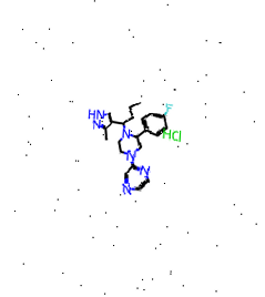 CCCC(c1c[nH]nc1C)N1CCN(c2cnccn2)CC1c1ccc(F)cc1.Cl